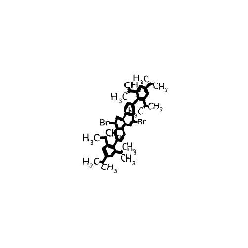 CC(C)c1cc(C(C)C)c(-c2ccc3c(c2)c(Br)cc2c4ccc(-c5c(C(C)C)cc(C(C)C)cc5C(C)C)cc4c(Br)cc32)c(C(C)C)c1